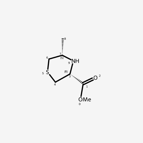 COC(=O)[C@@H]1CSC[C@H](C)N1